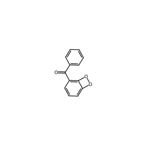 O=C(c1ccccc1)c1cccc2ooc12